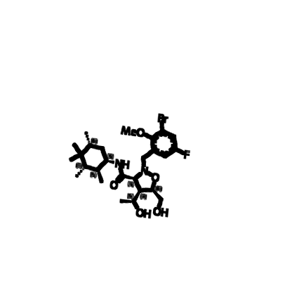 COc1c(Br)cc(F)cc1CN1O[C@@H](CO)[C@@H]([C@H](C)O)[C@H]1C(=O)N[C@H]1C[C@@H](C)C(C)(C)[C@@H](C)[C@@H]1C